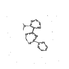 CN(C)c1ncccc1-c1ccnc(-c2ccccn2)c1